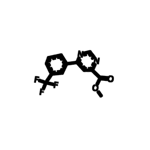 COC(=O)c1cc(-c2cccc(C(F)(F)F)c2)ncn1